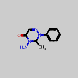 CC1N(N)C(=O)C=NN1c1ccccc1